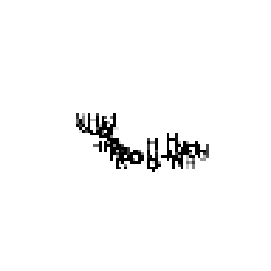 C[C@H](N)CCCc1cc(Cl)c(F)c(-c2cc3cn(-c4ccc([C@@H]5CCC[C@@H](CCNC(=N)[C@@H](N)CO)N5)cc4)c(=O)nc3[nH]2)c1